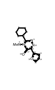 CNn1c(C2CCCCC2)nnc(-c2ccco2)c1=O